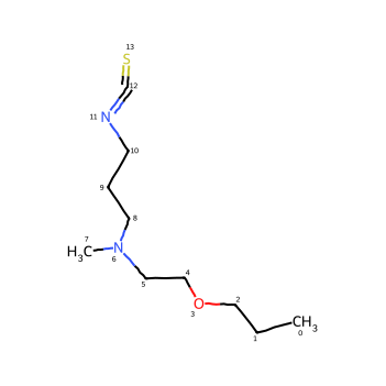 CCCOCCN(C)CCCN=C=S